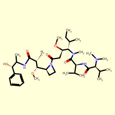 CCC(C)[C@@H]([C@@H](CC(=O)N1CC[C@H]1[C@H](OC)[C@@H](C)C(=O)NC(C)[C@@H](O)c1ccccc1)OC)N(C)C(=O)[C@@H](NC(=O)[C@H](C(C)C)N(C)C)C(C)C